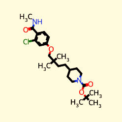 CNC(=O)c1ccc(OCC(C)(C)CCC2CCN(C(=O)OC(C)(C)C)CC2)cc1Cl